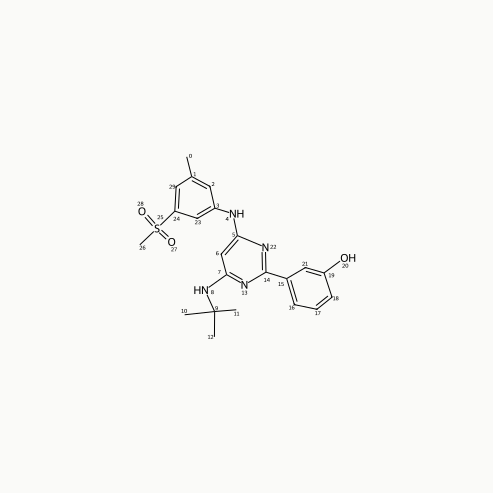 Cc1cc(Nc2cc(NC(C)(C)C)nc(-c3cccc(O)c3)n2)cc(S(C)(=O)=O)c1